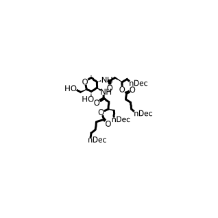 CCCCCCCCCCCCCC(=O)O[C@H](CCCCCCCCCCC)CC(=O)N[C@H]1[C@H](O)[C@@H](CO)O[CH][C@@H]1NC(=O)C[C@@H](CCCCCCCCCCC)OC(=O)CCCCCCCCCCCCC